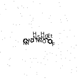 CCO[C@H](C(=O)Nc1nnc(N[C@@H]2CCN(c3cccnn3)C2)s1)c1ccc(F)cc1